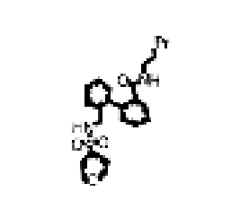 CC(C)CCNC(=O)c1ccccc1-c1ccccc1CNS(=O)(=O)c1ccccc1